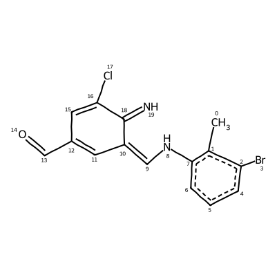 Cc1c(Br)cccc1N/C=C1/C=C(C=O)C=C(Cl)C1=N